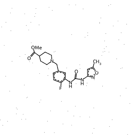 COC(=O)C1CCN(Cc2ccc(F)c(NC(=O)Nc3cc(C)on3)c2)CC1